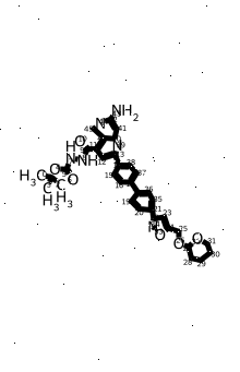 CC(C)(C)OC(=O)NNC(=O)c1cc(-c2ccc(-c3ccc(-c4cc(COC5CCCCO5)on4)cc3)cc2)nc2cc(N)ncc12